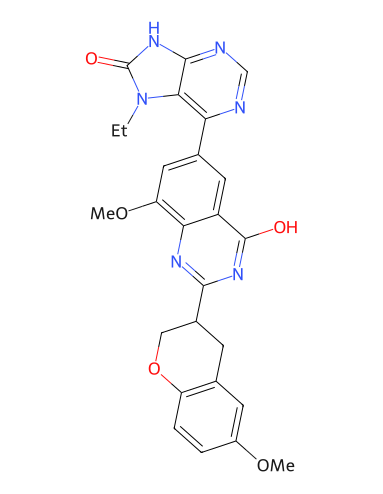 CCn1c(=O)[nH]c2ncnc(-c3cc(OC)c4nc(C5COc6ccc(OC)cc6C5)nc(O)c4c3)c21